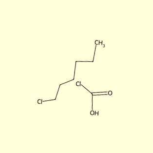 CCCCCCCl.O=C(O)Cl